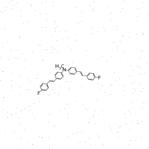 CN(c1ccc(/C=C/c2ccc(F)cc2)cc1)c1ccc(/C=C/c2ccc(F)cc2)cc1